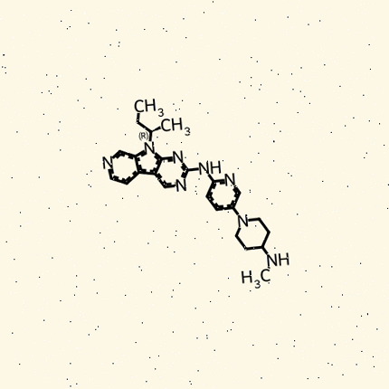 CC[C@@H](C)n1c2cnccc2c2cnc(Nc3ccc(N4CCC(NC)CC4)cn3)nc21